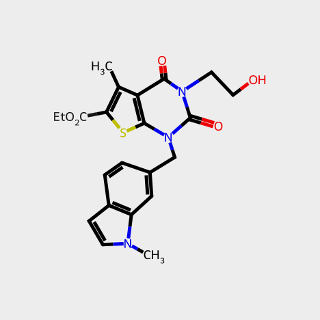 CCOC(=O)c1sc2c(c1C)c(=O)n(CCO)c(=O)n2Cc1ccc2ccn(C)c2c1